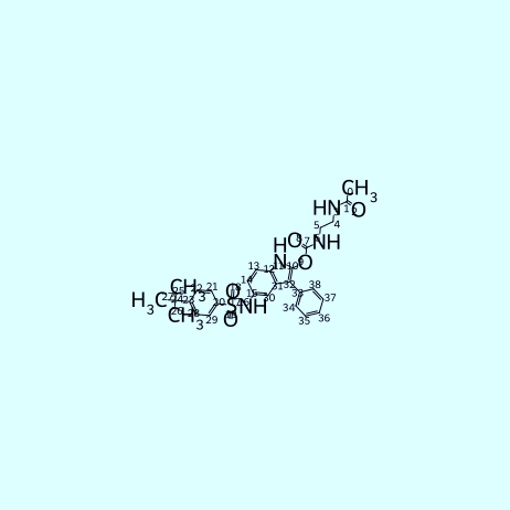 CC(=O)NCCNC(=O)Oc1[nH]c2ccc(NS(=O)(=O)c3ccc(C(C)(C)C)cc3)cc2c1-c1ccccc1